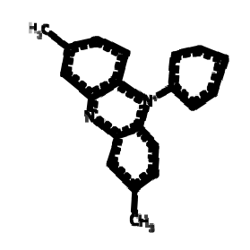 Cc1ccc2c(c1)nc1cc(C)ccc1[n+]2-c1ccccc1